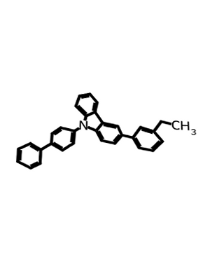 CCc1cccc(-c2ccc3c(c2)c2ccccc2n3-c2ccc(-c3ccccc3)cc2)c1